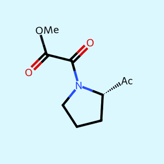 COC(=O)C(=O)N1CCC[C@H]1C(C)=O